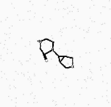 O=C1CNCCN1C1C2COCC21